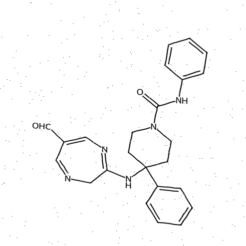 O=CC1=CN=C(NC2(c3ccccc3)CCN(C(=O)Nc3ccccc3)CC2)CN=C1